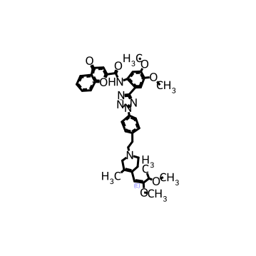 CO/C(=C/C1=C(C)CN(CCc2ccc(-n3nnc(-c4cc(OC)c(OC)cc4NC(=O)c4cc(=O)c5ccccc5o4)n3)cc2)CC1)C(C)OC